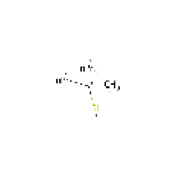 CCCC.CCCCS